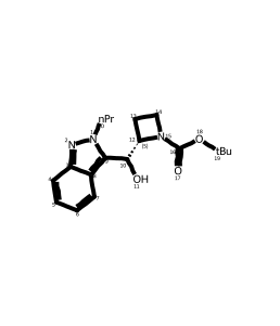 CCCn1nc2ccccc2c1C(O)[C@@H]1CCN1C(=O)OC(C)(C)C